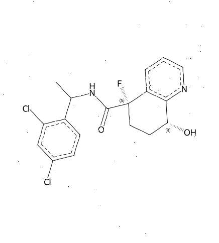 CC(NC(=O)[C@]1(F)CC[C@@H](O)c2ncccc21)c1ccc(Cl)cc1Cl